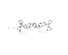 Cc1cc(C)cc(N(c2ccccc2)c2ccc3cc4c(cc3c2)oc2c(C(C)(C)C)c3c(cc24)oc2cc4cc(N(c5ccccc5)c5cc(C)cc(C)c5)ccc4cc23)c1